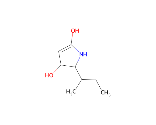 CCC(C)C1NC(O)=CC1O